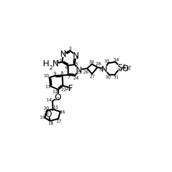 Nc1ncnc2c1c(-c1cccc(OCC34CCC(CC3)O4)c1F)cn2C1CC(N2CC[S+]([O-])CC2)C1